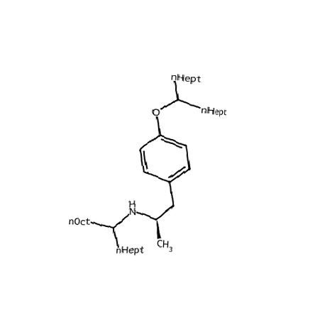 CCCCCCCCC(CCCCCCC)N[C@H](C)Cc1ccc(OC(CCCCCCC)CCCCCCC)cc1